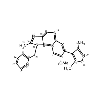 COc1cc2c(cc1-c1c(C)noc1C)ncc1nc(N)n(Cc3ccccn3)c12